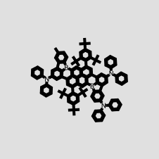 Cc1ccc2c(c1)-c1cc(N(c3ccccc3)c3ccccc3)cc3c1B2c1cc2c(-c4c(C(C)(C)C)cc(C(C)(C)C)cc4C(C)(C)C)cc4c5c(cc6c(-c7c(C(C)(C)C)cc(C(C)(C)C)cc7C(C)(C)C)cc-3c1c6c25)B1c2ccc(N(c3ccccc3)c3ccccc3)cc2-c2cc(N(c3ccccc3)c3ccccc3)cc-4c21